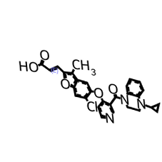 Cc1c(/C=C/C(=O)O)oc2cc(Cl)c(Oc3ccncc3C(=O)N3CCN(C4CC4)c4ccccc43)cc12